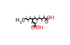 CCCCC(CCCCCC(=O)O)CCC(=O)O